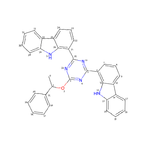 CC(Oc1nc(-c2cccc3c2[nH]c2ccccc23)nc(-c2cccc3c2[nH]c2ccccc23)n1)c1ccccc1